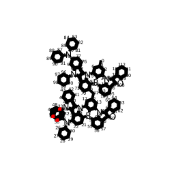 Cc1cc2c3c(c1)-n1c4c(c(Cc5cc6c7c(c5)-n5c8c(ccc(N(c9ccccc9)c9ccccc9)c8c8c5c5ccccc5n8-c5ccccc5)B7c5cccc7c8oc9ccccc9c8n-6c57)ccc4c4c1c1ccc(N(c5ccccc5)c5ccccc5)cc1n4-c1ccccc1)B3c1cccc3c4oc5ccccc5c4n-2c13